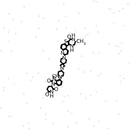 C[C@@H]1CNc2c(sc3ccc4nc(N5CCC6(CC5)CN(C5CCN(c7cccc8c7n(C)c(=O)n8C7CCC(=O)NC7=O)CC5)C6)ccc4c23)C(=O)N1